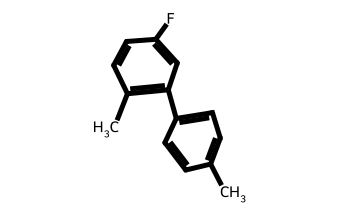 Cc1ccc(-c2cc(F)ccc2C)cc1